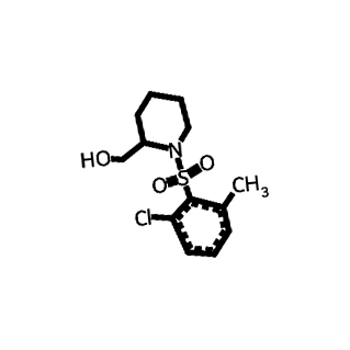 Cc1cccc(Cl)c1S(=O)(=O)N1CCCCC1CO